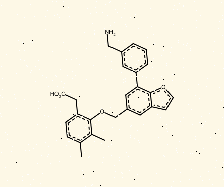 Cc1ccc(CC(=O)O)c(OCc2cc(-c3cccc(CN)c3)c3occc3c2)c1C